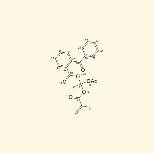 C=C(C)C(=O)OC(C)(OC(C)=O)OC(=O)c1ccccc1C(=O)c1ccccc1